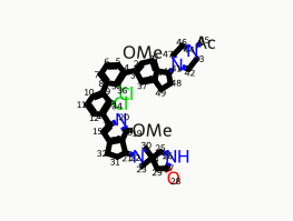 COc1cc(-c2cccc(-c3cccc(-c4cc5c(c(OC)n4)C(N4CC6(CNC(=O)C6)C4)CC5)c3Cl)c2Cl)cc2c1C(N1CCN(C(C)=O)CC1)CC2